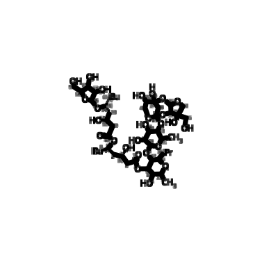 CC[C@H](C)[C@H](C[C@H](O)CC(=O)OC1C(O)C(C)OC(C(C)C)C1OC1OC(C)C(OC2CC(O)(OC3OCC(O)(CO)C3O)C(O)CO2)C(O)C1O)OC(=O)C[C@@H](O)C[C@H](OC1OC(CO)C(O)C1O)[C@@H](C)CC